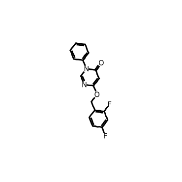 O=c1cc(OCc2ccc(F)cc2F)ncn1-c1ccccc1